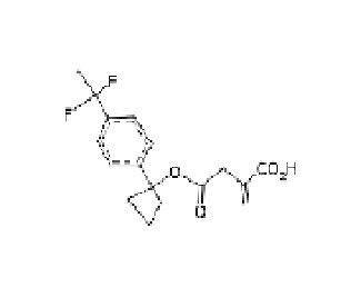 C=C(CC(=O)OC1(c2ccc(C(C)(F)F)cc2)CCC1)C(=O)O